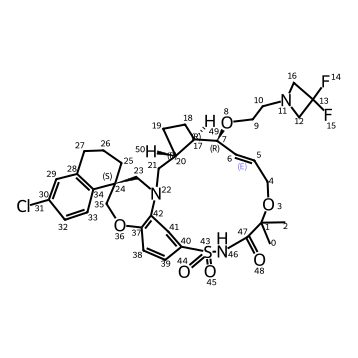 CC1(C)OC/C=C/[C@H](OCCN2CC(F)(F)C2)[C@@H]2CC[C@H]2CN2C[C@@]3(CCCc4cc(Cl)ccc43)COc3ccc(cc32)S(=O)(=O)NC1=O